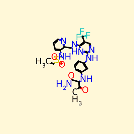 CCS(=O)(=O)Nc1cccnc1CNc1nc(Nc2cccc(NC(C(C)=O)C(N)=O)c2)ncc1C(F)(F)F